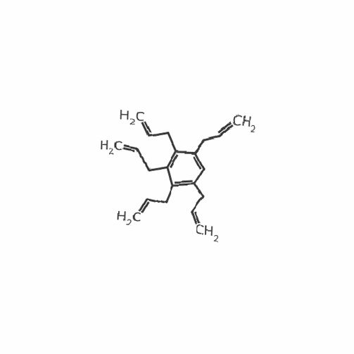 C=CCc1cc(CC=C)c(CC=C)c(CC=C)c1CC=C